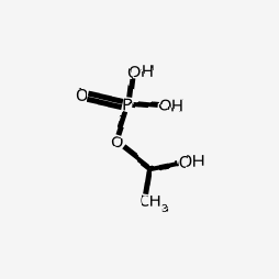 CC(O)OP(=O)(O)O